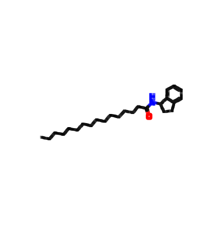 CCCCCCCCCCCCCCCC(=O)NC1CCc2ccccc21